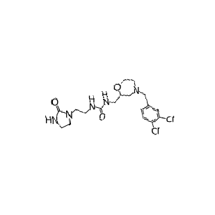 O=C(NCCN1CCNC1=O)NCC1CN(Cc2ccc(Cl)c(Cl)c2)CCO1